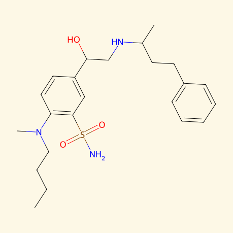 CCCCN(C)c1ccc(C(O)CNC(C)CCc2ccccc2)cc1S(N)(=O)=O